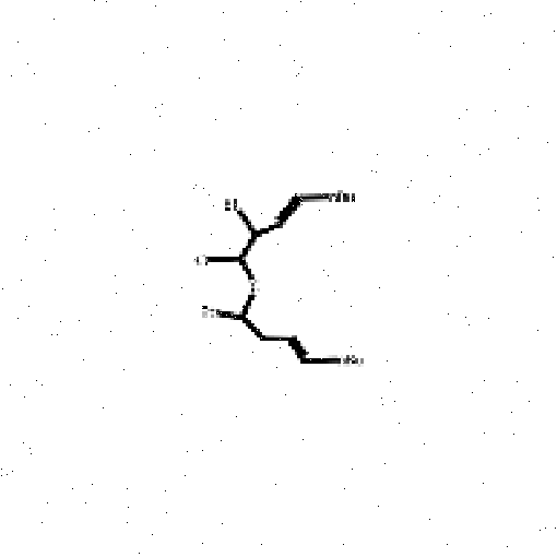 CCCCC=CCC(CC)OC([O])C(C=CCCCC)CC